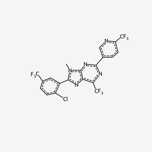 Cn1c(-c2cc(C(F)(F)F)ccc2Cl)nc2c(C(F)(F)F)nc(-c3ccc(C(F)(F)F)nc3)nc21